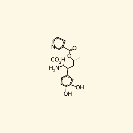 C[C@H](CC(c1ccc(O)c(O)c1)[C@H](N)C(=O)O)OC(=O)c1cccnc1